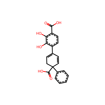 O=C(O)c1ccc(C2=CCC(C(=O)O)(c3ccccc3)C=C2)c(O)c1O